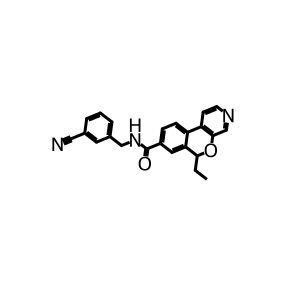 CCC1Oc2cnccc2-c2ccc(C(=O)NCc3cccc(C#N)c3)cc21